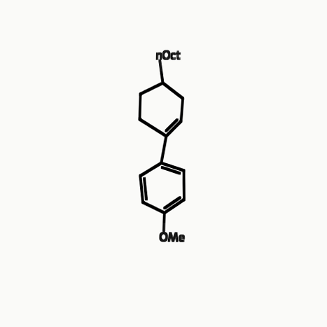 CCCCCCCCC1CC=C(c2ccc(OC)cc2)CC1